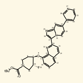 CC(C)(C)OC(=O)N1CC[C@@H](Oc2cccc3ccc(-c4cnc5cc(-c6cccnc6)ccn45)nc23)[C@H](F)C1